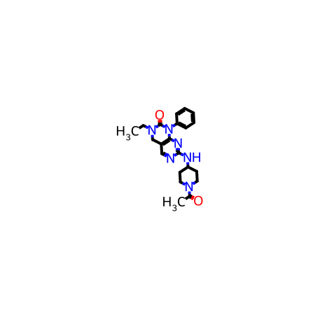 CCN1Cc2cnc(NC3CCN(C(C)=O)CC3)nc2N(c2ccccc2)C1=O